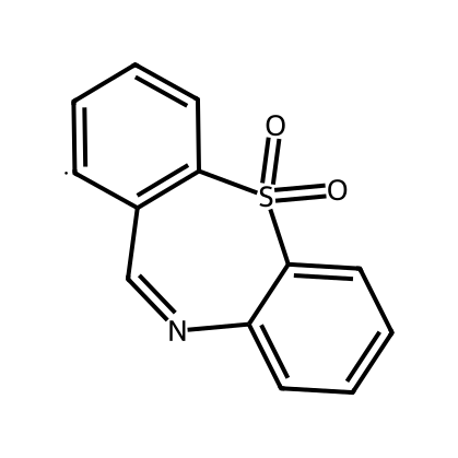 O=S1(=O)c2ccc[c]c2C=Nc2ccccc21